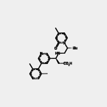 CC[C@@H](C)C(CN[C@@H](CC(=O)O)c1cncc(-c2c(C)cccc2C)c1)n1ccc(C)cc1=O